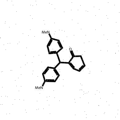 CNc1ccc(C(C2=CC=CCC2=O)c2ccc(NC)cc2)cc1